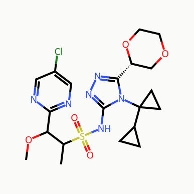 COC(c1ncc(Cl)cn1)C(C)S(=O)(=O)Nc1nnc([C@H]2COCCO2)n1C1(C2CC2)CC1